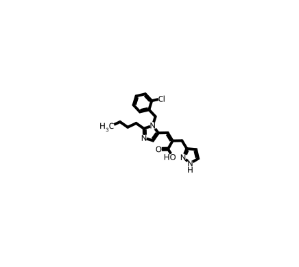 CCCCc1ncc(C=C(Cc2cc[nH]n2)C(=O)O)n1Cc1ccccc1Cl